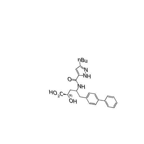 CCCCc1cc(C(=O)NC(Cc2ccc(-c3ccccc3)cc2)C[C@@H](O)C(=O)O)[nH]n1